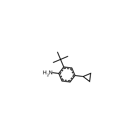 CC(C)(C)c1cc(C2CC2)ccc1N